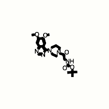 COc1cc2ncnc(N3CCCN(C(=O)CNC(=O)OC(C)(C)C)CC3)c2cc1OC